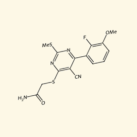 COc1cccc(-c2nc(SC)nc(SCC(N)=O)c2C#N)c1F